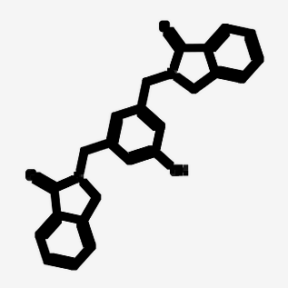 O=C1c2ccccc2CN1Cc1cc(O)cc(CN2Cc3ccccc3C2=O)c1